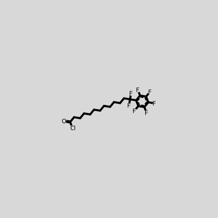 O=C(Cl)CCCCCCCCCCCC(F)(F)c1c(F)c(F)c(F)c(F)c1F